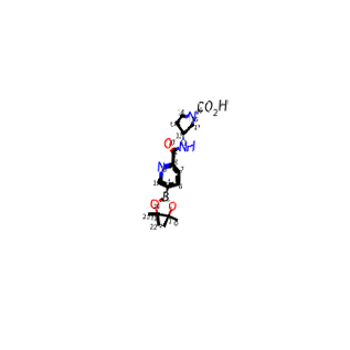 CC1(C)OB(c2ccc(C(=O)N[C@@H]3CCN(C(=O)O)C3)nc2)OC1(C)C